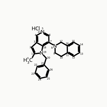 Cc1cc2cncc(N3CCc4ccccc4C3)c2n1Cc1ccccc1.Cl